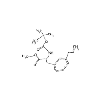 C=CCc1cccc(CC(NC(=O)OC(C)(C)C)C(=O)OC)c1